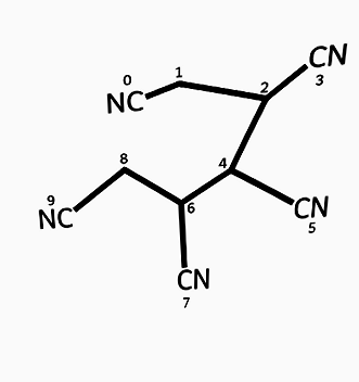 N#CCC(C#N)C(C#N)C(C#N)CC#N